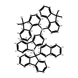 CC1(C)c2ccccc2-c2c(N(c3ccc4c(c3)c3ccccc3n4C3(c4ccc5ccccc5c4)c4ccccc4-c4ccccc43)c3cccc4c3-c3ccccc3C4(C)C)cccc21